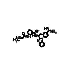 CNCC(=O)Nc1cccc([S+]([O-])NC(Cc2cccc(C(=N)N)c2)c2nc3ccccc3s2)c1